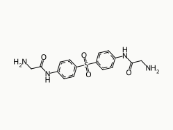 NCC(=O)Nc1ccc(S(=O)(=O)c2ccc(NC(=O)CN)cc2)cc1